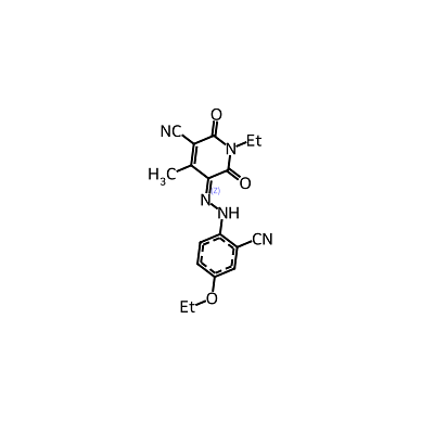 CCOc1ccc(N/N=C2\C(=O)N(CC)C(=O)C(C#N)=C2C)c(C#N)c1